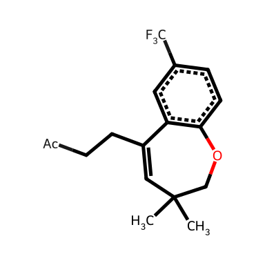 CC(=O)CCC1=CC(C)(C)COc2ccc(C(F)(F)F)cc21